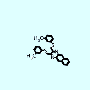 Cc1cccc(SCc2nc3cc4ccccc4cc3nc2CSc2cccc(C)c2)c1